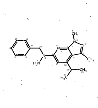 Cc1nn(C)c2nc(N(N)Cc3ccccc3)cc(C(C)C)c12